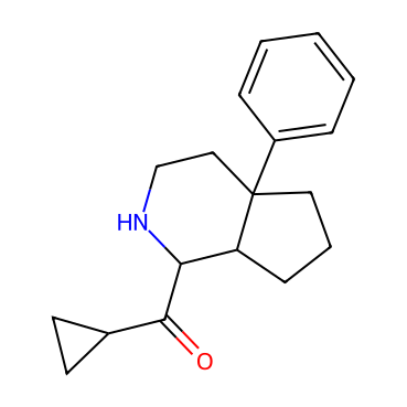 O=C(C1CC1)C1NCCC2(c3ccccc3)CCCC12